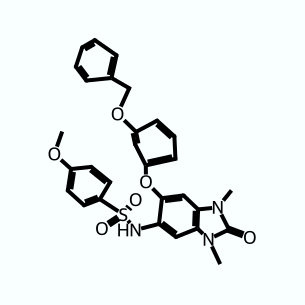 COc1ccc(S(=O)(=O)Nc2cc3c(cc2Oc2cccc(OCc4ccccc4)c2)n(C)c(=O)n3C)cc1